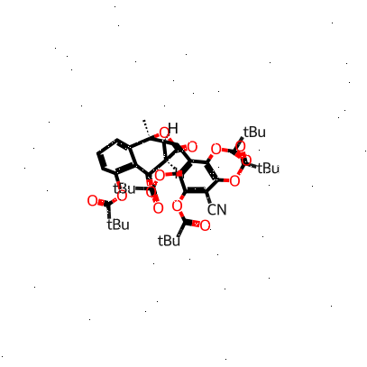 CC(C)(C)C(=O)Oc1cccc2c1C(=O)[C@@H]1C(=O)O[C@@]2(C)[C@H]1Cc1c(OC(=O)C(C)(C)C)c(OC(=O)C(C)(C)C)c(C#N)c(OC(=O)C(C)(C)C)c1OC(=O)C(C)(C)C